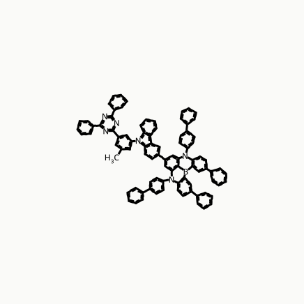 Cc1cc(-c2nc(-c3ccccc3)nc(-c3ccccc3)n2)cc(-n2c3ccccc3c3cc(-c4cc5c6c(c4)N(c4ccc(-c7ccccc7)cc4)c4ccc(-c7ccccc7)cc4B6c4cc(-c6ccccc6)ccc4N5c4ccc(-c5ccccc5)cc4)ccc32)c1